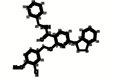 COc1ccc(COc2nc(N3CCc4ccccc43)ncc2C(=O)NCc2cccnc2)cc1Cl